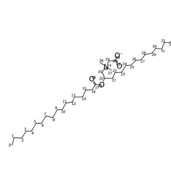 CCCCCCCCCCCCCCCCCC(=O)OC(CCCCCCCCCCCCCC)C[N+](C)(C)CC(=O)[O-]